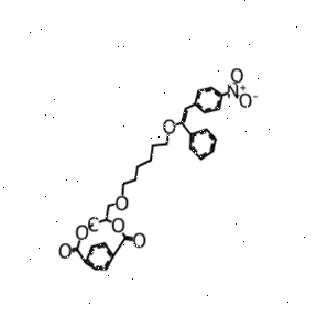 O=C1OCC(COCCCCCCOC(=Cc2ccc([N+](=O)[O-])cc2)c2ccccc2)OC(=O)c2ccc1cc2